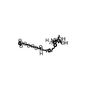 CCCCc1nc2c(N)nc3cc(CCCN4CCN(CCCCNC(=O)CCOCCOCCOCCOCCN5C(=O)C=CC5=O)CC4)ccc3c2n1CC(C)(CO)CO